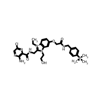 C=P(C)(C)c1ccc(CNC(=O)COc2ccc3c(c2)n(CCO)c(CNC(=O)c2nc(Cl)cnc2N)[n+]3CC)cc1